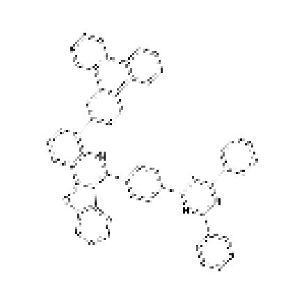 c1ccc(-c2nc(-c3ccccc3)nc(-c3ccc(-c4nc5c(-c6ccc7c8ccccc8c8ccccc8c7c6)cccc5c5oc6ccccc6c45)cc3)n2)cc1